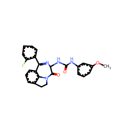 COc1cccc(NC(=O)NC2N=C(c3ccccc3F)c3cccc4c3N(CC4)C2=O)c1